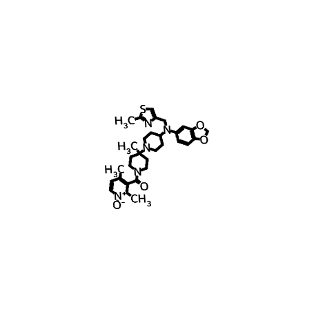 Cc1nc(CN(c2ccc3c(c2)OCO3)C2CCN(C3(C)CCN(C(=O)c4c(C)cc[n+]([O-])c4C)CC3)CC2)cs1